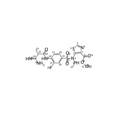 CPN(c1scnc1C(=O)OC(C)(C)C)S(=O)(=O)c1ccc(NC(=O)C(C)C(=N)N)c(F)c1